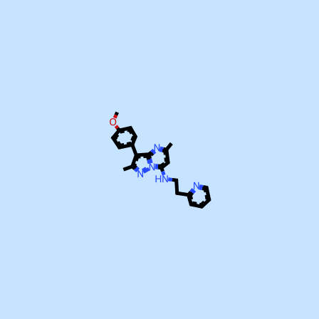 COc1ccc(-c2c(C)nn3c(NCCc4ccccn4)cc(C)nc23)cc1